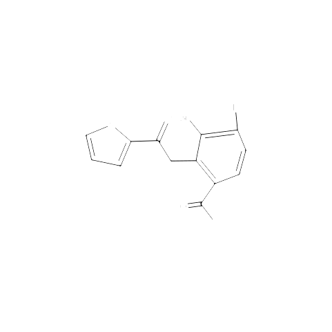 O=C(Cc1c(C(=O)Cl)ccc(F)c1Br)c1cccs1